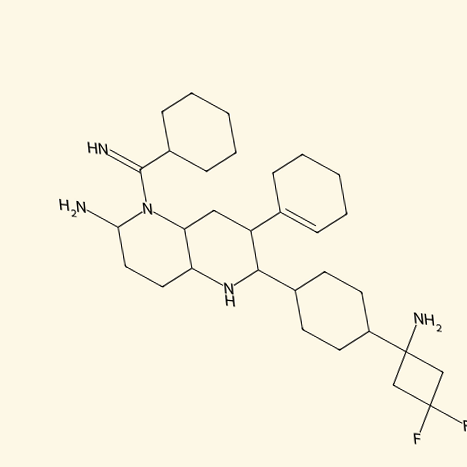 N=C(C1CCCCC1)N1C(N)CCC2NC(C3CCC(C4(N)CC(F)(F)C4)CC3)C(C3=CCCCC3)CC21